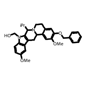 COc1ccc2c(c1)c1c(n2CO)C(C(C)C)N2CCc3cc(OCc4ccccc4)c(OC)cc3C2C1